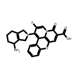 NC1CCCC2=C1CN(c1c(F)cn3c(=O)c(C(=O)O)cc4c3c1-c1ccccc1O4)C2